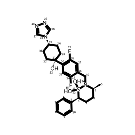 C[C@H]1CC[C@@H](c2ccccc2)S(O)(O)N1Cc1cc(F)c([C@]2(O)CC[C@@H](n3cnnc3)CC2)cc1F